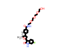 CC1(C)OC(=C2C(=O)Nc3cc(F)ccc32)C=C1c1ccc(C(=O)NCCOCCOCCOCCO)cc1